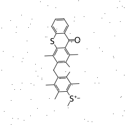 Cc1c(C)c([S+](C)C)c(C)c(C)c1Cc1c(C)c(C)c2c(=O)c3ccccc3sc2c1C